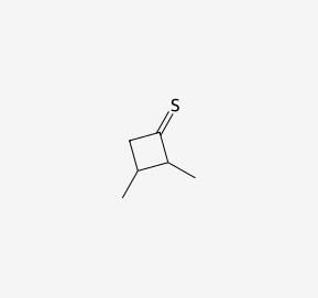 CC1CC(=S)C1C